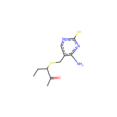 CCC(SCc1cnc(S)nc1N)C(C)=O